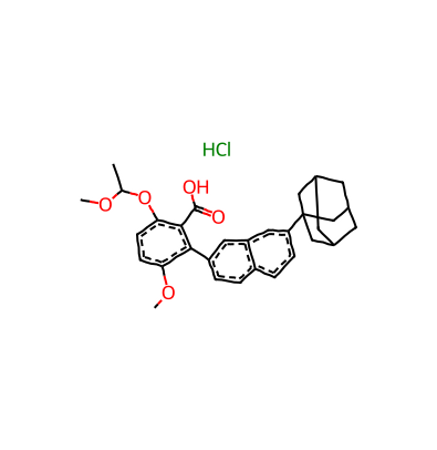 COc1ccc(OC(C)OC)c(C(=O)O)c1-c1ccc2ccc(C34CC5CC(CC(C5)C3)C4)cc2c1.Cl